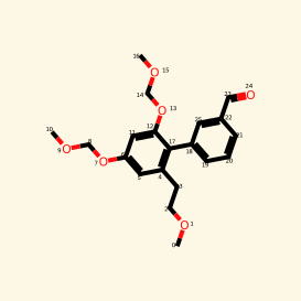 COCCc1cc(OCOC)cc(OCOC)c1-c1cccc(C=O)c1